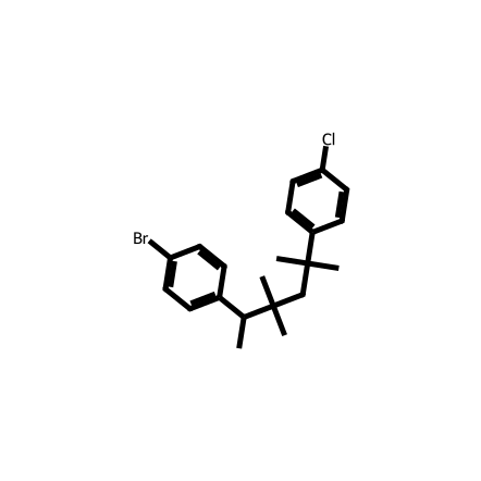 CC(c1ccc(Br)cc1)C(C)(C)CC(C)(C)c1ccc(Cl)cc1